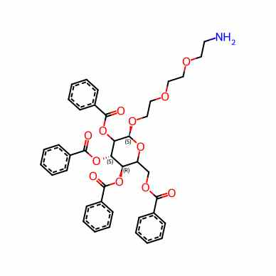 NCCOCCOCCO[C@H]1OC(COC(=O)c2ccccc2)[C@@H](OC(=O)c2ccccc2)[C@H](OC(=O)c2ccccc2)C1OC(=O)c1ccccc1